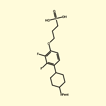 CCCCCC1CCC(c2ccc(OCCCP(=O)(O)O)c(F)c2F)CC1